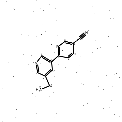 N#Cc1ccc(-c2cncc(CN)c2)cc1